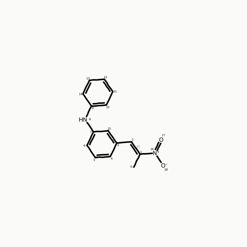 C/C(=C\c1cccc(Nc2ccccc2)c1)[N+](=O)[O-]